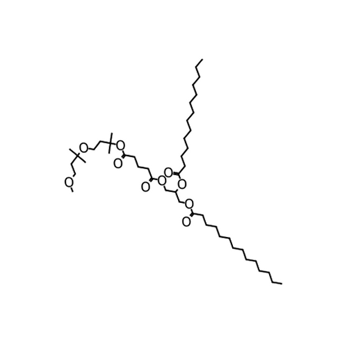 CCCCCCCCCCCCCC(=O)OCC(COC(=O)CCCC(=O)OC(C)(C)CCOC(C)(C)CCOC)OC(=O)CCCCCCCCCCCCC